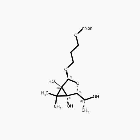 CCCCCCCCCOCCCO[C@H]1O[C@H]([C@@H](C)O)[C@@]2(O)C(C)(C)[C@@]12O